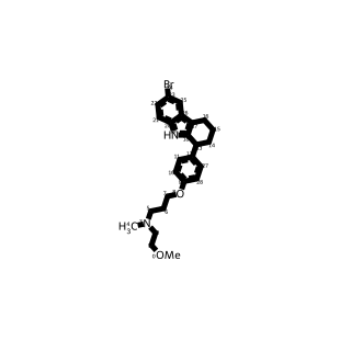 COCCN(C)CCCOc1ccc(C2CCCc3c2[nH]c2ccc(Br)cc32)cc1